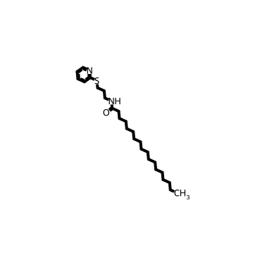 CCCCCCCCCCCCCCCCCC(=O)NCCCSc1ccccn1